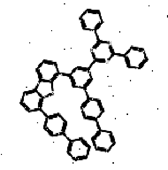 c1ccc(-c2ccc(-c3cc(-c4nc(-c5ccccc5)nc(-c5ccccc5)n4)cc(-c4cccc5c4sc4c(-c6ccc(-c7ccccc7)cc6)cccc45)c3)cc2)cc1